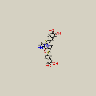 O=C(c1[nH]ccc1CSc1ccc2cc(O)c(O)cc2c1)c1[nH]ccc1CSc1ccc2cc(O)c(O)cc2c1